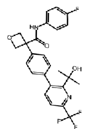 CC(C)(O)c1nc(C(F)(F)F)ccc1-c1ccc(C2(C(=O)Nc3ccc(F)cc3)COC2)cc1